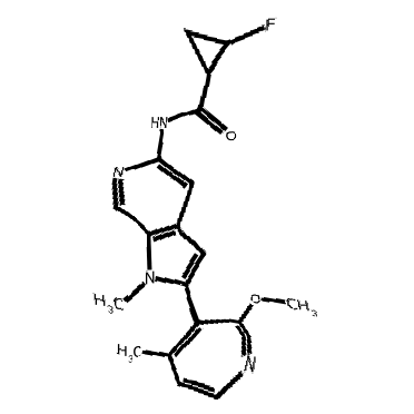 COc1nccc(C)c1-c1cc2cc(NC(=O)C3CC3F)ncc2n1C